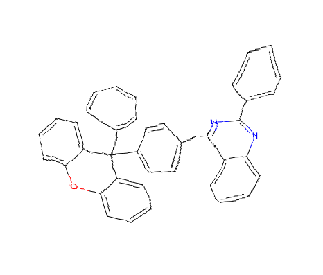 c1ccc(-c2nc(-c3ccc(C4(c5ccccc5)c5ccccc5Oc5ccccc54)cc3)c3ccccc3n2)cc1